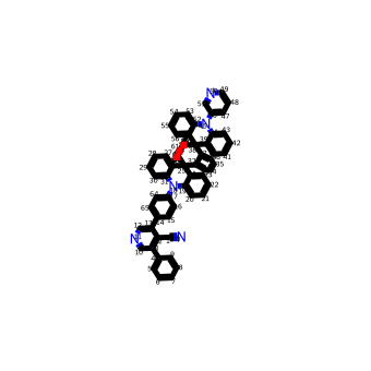 N#Cc1c(-c2ccccc2)cncc1-c1ccc(N2c3ccccc3C3(c4ccccc42)c2ccccc2C2(c4ccccc4N(c4cccnc4)c4ccccc42)c2ccccc23)cc1